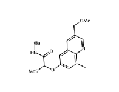 COCc1cnc2c(C)cc(OC(SC)C(=O)NC(C)(C)C)cc2c1